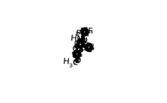 COc1cccc(CC2C(=O)Oc3[nH]c(-c4cc(F)ccc4F)nc3C2c2ccccc2)c1